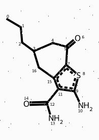 CCCC1CC(=O)c2sc(N)c(C(N)=O)c2C1